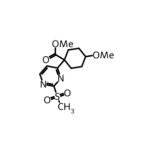 COC(=O)C1(c2ccnc(S(C)(=O)=O)n2)CCC(OC)CC1